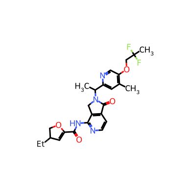 CCC1C=C(C(=O)Nc2nccc3c2CN(C(C)c2cc(C)c(OCC(C)(F)F)cn2)C3=O)OC1